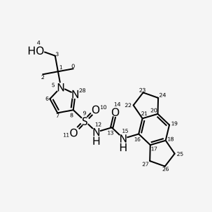 CC(C)(CO)n1ccc(S(=O)(=O)NC(=O)Nc2c3c(cc4c2CCC4)CCC3)n1